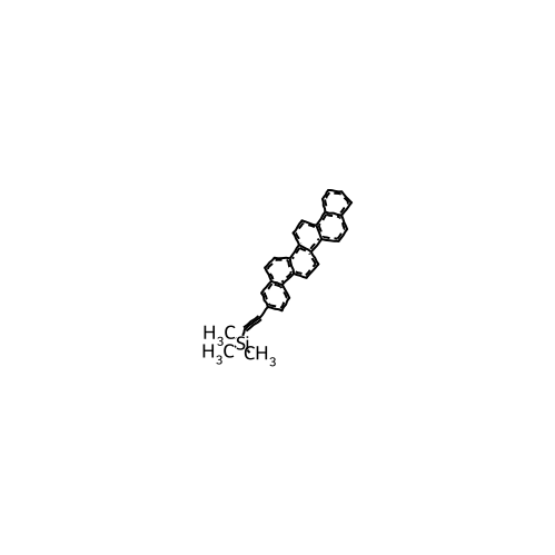 C[Si](C)(C)C#Cc1ccc2c(ccc3c2ccc2c4ccc5ccccc5c4ccc32)c1